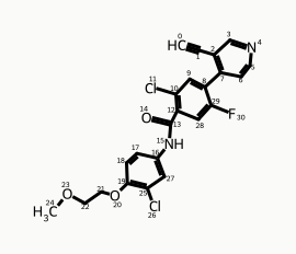 C#Cc1cnccc1-c1cc(Cl)c(C(=O)Nc2ccc(OCCOC)c(Cl)c2)cc1F